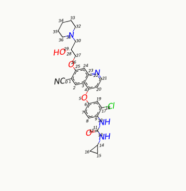 N#Cc1cc2c(Oc3ccc(NC(=O)NC4CC4)c(Cl)c3)ccnc2cc1OC[C@H](O)CN1CCCCC1